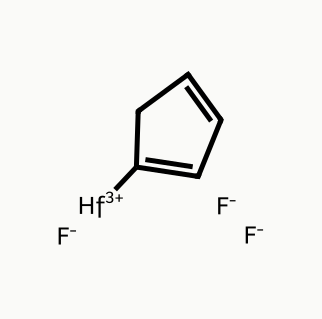 [F-].[F-].[F-].[Hf+3][C]1=CC=CC1